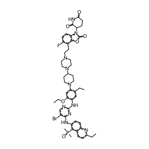 CCOc1cc(N2CCC(N3CCN(CCc4c(F)ccc5c4oc(=O)n5C4CCC(=O)NC4=O)CC3)CC2)c(CC)cc1Nc1ncc(Br)c(Nc2ccc3nc(CC)ccc3c2P(C)(C)=O)n1